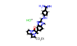 CCOC(=O)C1CCN1C(C)(C(=O)N1CCCC1)c1ccc2c(c1)nc(CNc1ccc(C(=N)N)cc1)n2C.Cl